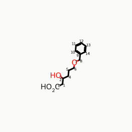 O=C(O)CC(O)CCCOCc1ccccc1